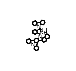 N=C(c1ccccc1C(=N)n1c2cc3c4ccccc4n4c5ccccc5c(c2c2ccc5ccccc5c21)c34)n1c2ccccc2c2ccccc21